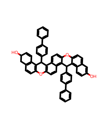 Oc1ccc2c3c(ccc2c1)Oc1ccc2c4c(ccc2c1C3c1ccc(-c2ccccc2)cc1)Oc1ccc2c(c1C4c1ccc(-c3ccccc3)cc1)C=CC(O)C2